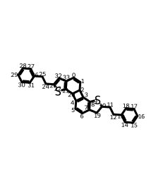 C1=CC2c3c(ccc4c3SC(CCc3ccccc3)C4)C2c2sc(CCc3ccccc3)cc21